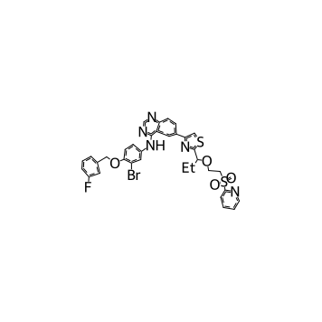 CCC(OCCS(=O)(=O)c1ccccn1)c1nc(-c2ccc3ncnc(Nc4ccc(OCc5cccc(F)c5)c(Br)c4)c3c2)cs1